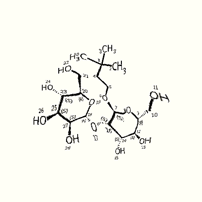 CC(C)(C)CCO[C@H]1O[C@H](CO)[C@@H](O)[C@H](O)[C@@H]1O[C@H]1O[C@H](CO)[C@@H](O)[C@H](O)[C@@H]1O